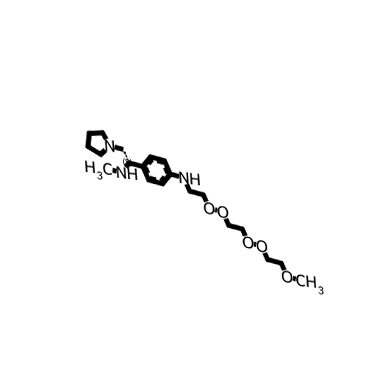 CN[C@H](CN1CCCC1)c1ccc(NCCOOCCOOCCOC)cc1